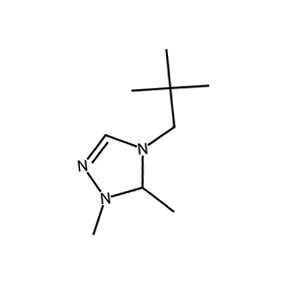 CC1N(CC(C)(C)C)C=NN1C